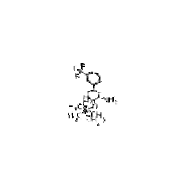 CC(C)(C)[Si](C)(C)O[C@H]1CCC(c2cccc(C(F)(F)F)c2)C[C@@H]1N